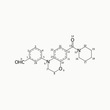 O=Cc1cccc(N2CCOc3cc(C(=O)N4CCCCC4)ccc32)c1